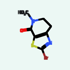 O=C(O)N1CCc2nc(Br)sc2C1=O